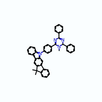 CN1C(c2ccc(-n3c4ccccc4c4cc5c(cc43)-c3ccccc3C5(C)C)cc2)=NC(c2ccccc2)=NC1c1ccccc1